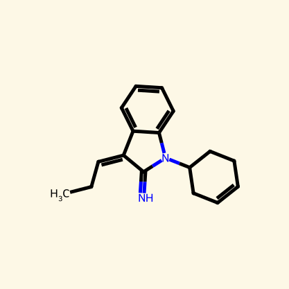 CC/C=C1\C(=N)N(C2CC=CCC2)c2ccccc21